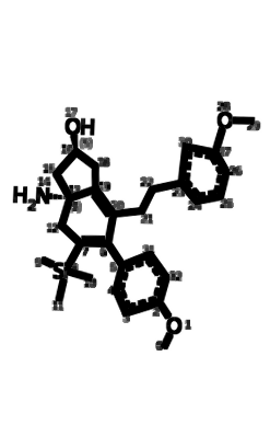 COc1ccc(C2=C([Si](C)(C)C)C[C@@]3(N)C[C@@H](O)CC3=C2CCc2cccc(OC)c2)cc1